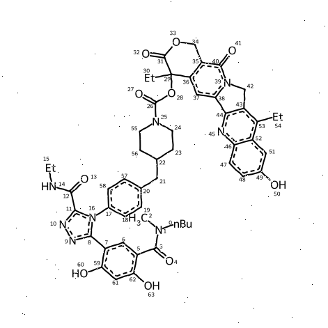 CCCCN(C)C(=O)c1cc(-c2nnc(C(=O)NCC)n2-c2ccc(CC3CCN(C(=O)OC4(CC)C(=O)OCc5c4cc4n(c5=O)Cc5c-4nc4ccc(O)cc4c5CC)CC3)cc2)c(O)cc1O